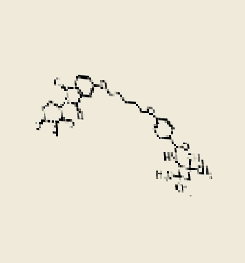 CC1(C)CC(C)(C)C1NC(=O)c1ccc(OCCCCCOc2ccc3c(c2)C(=O)N(C2CCC(=O)NC2=O)C3=O)cc1